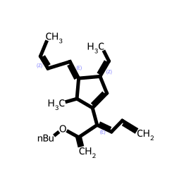 C=C/C=C(/C(=C)OCCCC)C1=CC(=C/C)/C(=C/C=C\C)C1C